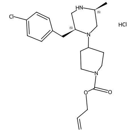 C=CCOC(=O)N1CCC(N2C[C@H](C)NC[C@@H]2Cc2ccc(Cl)cc2)CC1.Cl